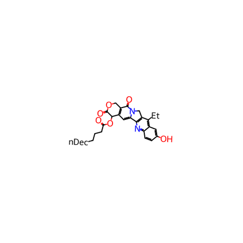 CCCCCCCCCCCCCC(=O)OC1C(=O)OCc2c1cc1n(c2=O)Cc2c-1nc1ccc(O)cc1c2CC